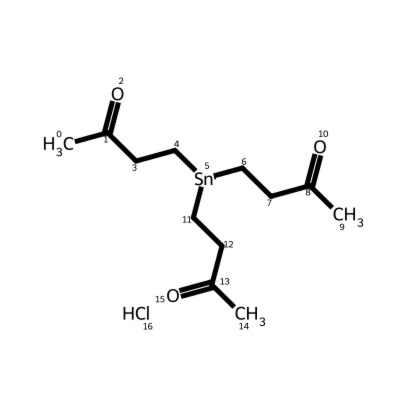 CC(=O)C[CH2][Sn]([CH2]CC(C)=O)[CH2]CC(C)=O.Cl